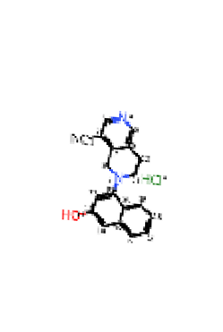 Cl.N#Cc1cncc2c1CN(c1cc(O)cc3ccccc13)CC2